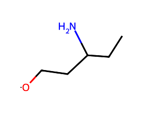 CCC(N)CC[O]